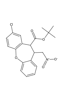 CC(C)(C)OC(=O)C1c2cc(Cl)ccc2Oc2ccccc2C1C[N+](=O)[O-]